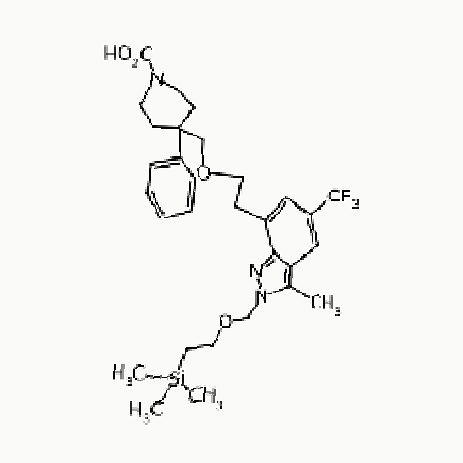 Cc1c2cc(C(F)(F)F)cc(CCOCC3(c4ccccc4)CCN(C(=O)O)CC3)c2nn1COCC[Si](C)(C)C